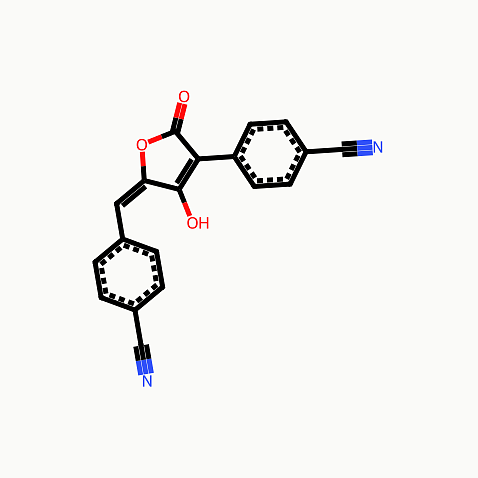 N#Cc1ccc(C=C2OC(=O)C(c3ccc(C#N)cc3)=C2O)cc1